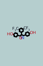 Oc1ccc(-c2noc(-c3ccc(O)cc3)c2-c2cc(C(F)(F)F)cc(C(F)(F)F)c2)cc1